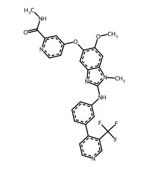 CNC(=O)c1cc(Oc2cc3nc(Nc4cccc(-c5ccncc5C(F)(F)F)c4)n(C)c3cc2OC)ccn1